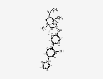 CO[C@@H]1C[C@]2(C)N[C@@]1(C)C[C@@H](Oc1ncc(-c3ccc(-n4ccnc4)cc3O)nn1)[C@@H]2F